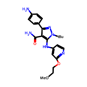 COCCOc1cc(Nc2c(C(N)=O)c(-c3ccc(N)cc3)nn2C(C)(C)C)ccn1